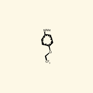 CNc1ccc(OCC(F)(F)F)cc1